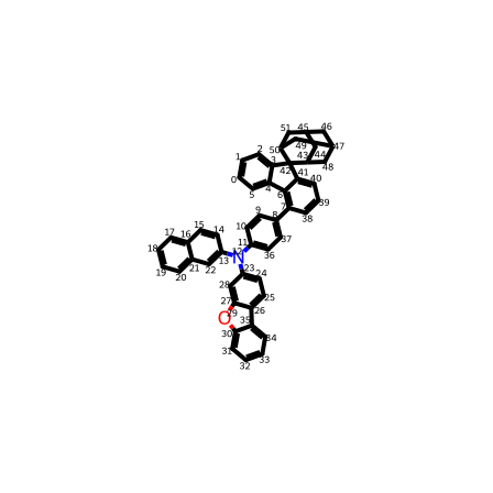 c1ccc2c(c1)-c1c(-c3ccc(N(c4ccc5ccccc5c4)c4ccc5c(c4)oc4ccccc45)cc3)cccc1C21C2CC3CC(C2)CC1C3